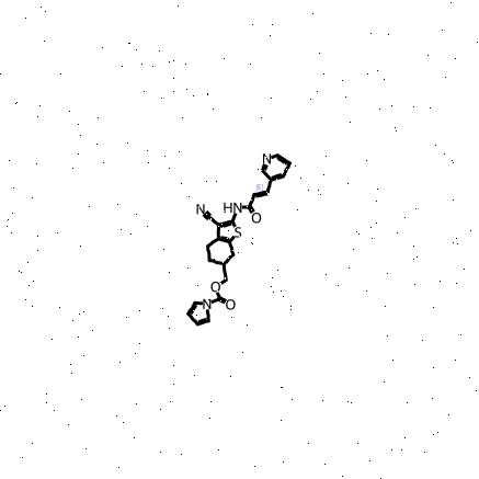 N#Cc1c(NC(=O)/C=C/c2cccnc2)sc2c1CCC(COC(=O)n1cccc1)C2